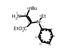 CCCC/C(N)=C(/C(=O)OCC)N(CC)c1ccccc1